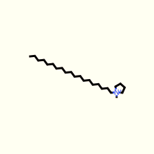 CCCCCCCCCCCCCCCCCCC[N+]1(C)CCCC1